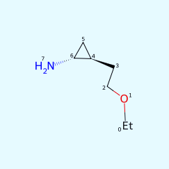 CCOCC[C@@H]1C[C@H]1N